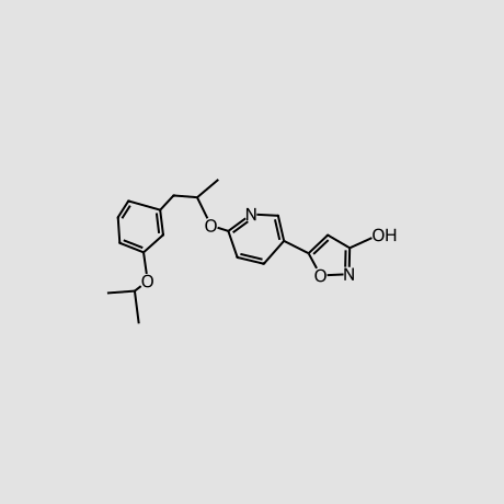 CC(C)Oc1cccc(CC(C)Oc2ccc(-c3cc(O)no3)cn2)c1